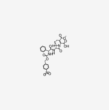 COC(=O)C1=C(C(=O)O)N2C(=O)C(NC(=O)C(NC(=O)OCc3ccc([N+](=O)[O-])cc3)c3ccccc3)[C@@H]2SC1